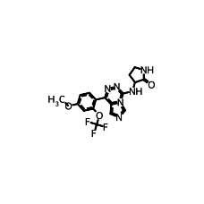 COc1ccc(-c2nnc(NC3CCNC3=O)n3cncc23)c(OC(F)(F)F)c1